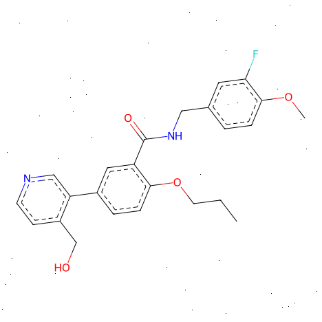 CCCOc1ccc(-c2cnccc2CO)cc1C(=O)NCc1ccc(OC)c(F)c1